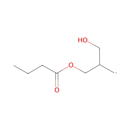 [CH2]C(CO)COC(=O)CCC